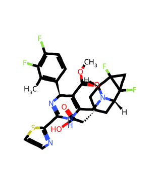 COC(=O)C1=C(CN2[C@H]3C[C@H](CC(=O)O)C[C@@H]2C2(F)CC32F)NC(c2nccs2)=N[C@H]1c1ccc(F)c(F)c1C